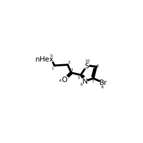 CCCCCCCCC(=O)c1nc(Br)cs1